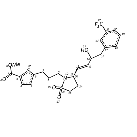 COC(=O)c1ccc(CCCN2[C@@H](C=CC(O)Cc3cccc(C(F)(F)F)c3)CCS2(=O)=O)s1